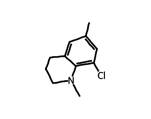 Cc1cc(Cl)c2c(c1)CCCN2C